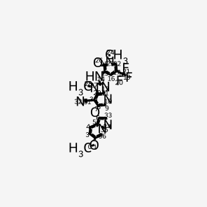 COc1ccc2c(Oc3cnc4nc(Nc5cc(C(F)(F)F)cn(C)c5=O)n(C)c4c3C#N)cnn2c1